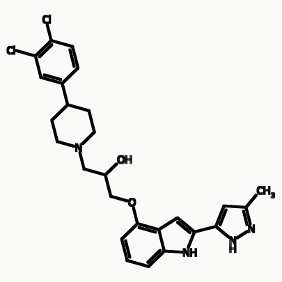 Cc1cc(-c2cc3c(OCC(O)CN4CCC(c5ccc(Cl)c(Cl)c5)CC4)cccc3[nH]2)[nH]n1